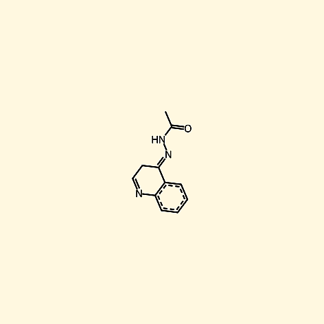 CC(=O)NN=C1CC=Nc2ccccc21